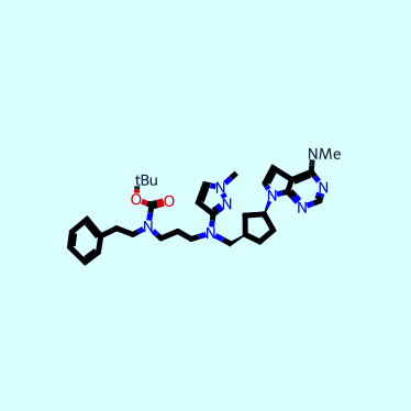 CNc1ncnc2c1ccn2[C@H]1CC[C@@H](CN(CCCN(CCc2ccccc2)C(=O)OC(C)(C)C)c2ccn(C)n2)C1